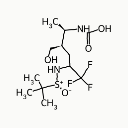 C[C@@H](NC(=O)O)[C@H](CO)CC(N[S@+]([O-])C(C)(C)C)C(F)(F)F